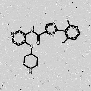 O=C(Nc1cnccc1OC1CCNCC1)c1csc(-c2c(F)cccc2F)n1